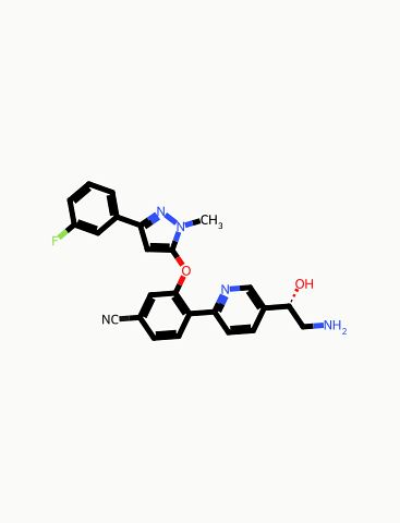 Cn1nc(-c2cccc(F)c2)cc1Oc1cc(C#N)ccc1-c1ccc([C@H](O)CN)cn1